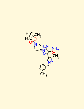 Cc1cccc(Cn2cc(-c3nn([C@H]4CCCN(C(=O)OC(C)(C)C)CC4)c(N)c3C(N)=O)c(C)n2)c1